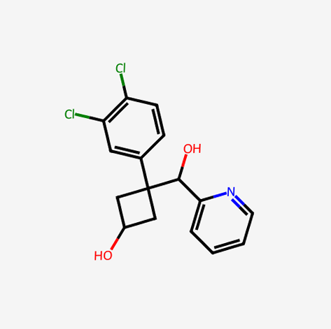 OC1CC(c2ccc(Cl)c(Cl)c2)(C(O)c2ccccn2)C1